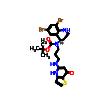 CC(C)(C)OC(=O)N(CCCNc1cc(=O)c2sccc2[nH]1)[C@@H]1CCNc2c(Br)cc(Br)cc21